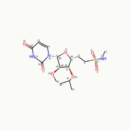 CNS(=O)(=O)CC[C@H]1O[C@@H](n2ccc(=O)[nH]c2=O)[C@H](OC)[C@@H]1OC(C)C